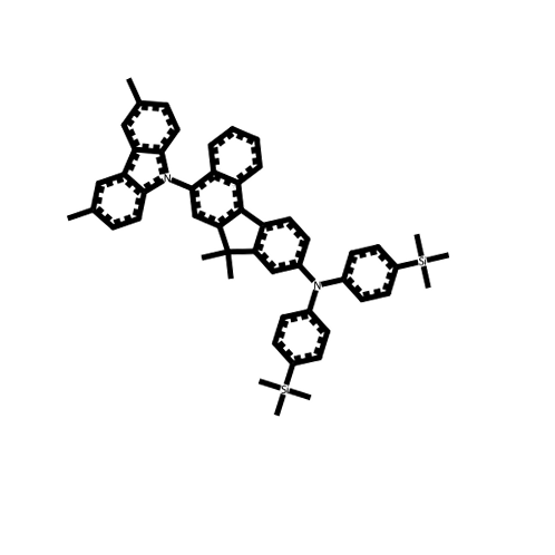 Cc1ccc2c(c1)c1cc(C)ccc1n2-c1cc2c(c3ccccc13)-c1ccc(N(c3ccc([Si](C)(C)C)cc3)c3ccc([Si](C)(C)C)cc3)cc1C2(C)C